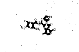 CC(NC(=O)c1nc(Cl)c(N)nc1N)c1nc2c(F)ccc(Cl)c2c(=O)n1-c1cc[nH]n1